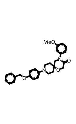 COc1cccc(N2CC3(CCN(c4ccc(OCc5ccccc5)cc4)CC3)OCC2=O)c1